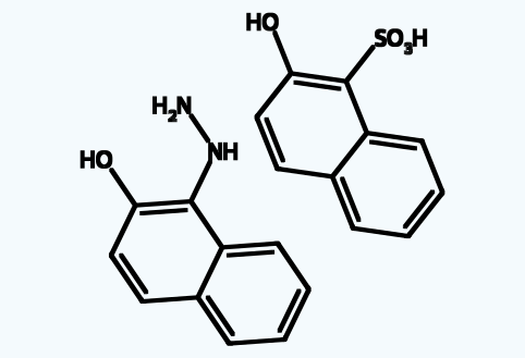 NNc1c(O)ccc2ccccc12.O=S(=O)(O)c1c(O)ccc2ccccc12